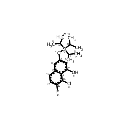 CC(C)[Si](Oc1cc(O)c2c(Cl)c(F)ccc2c1)(C(C)C)C(C)C